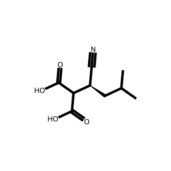 CC(C)C[C@H](C#N)C(C(=O)O)C(=O)O